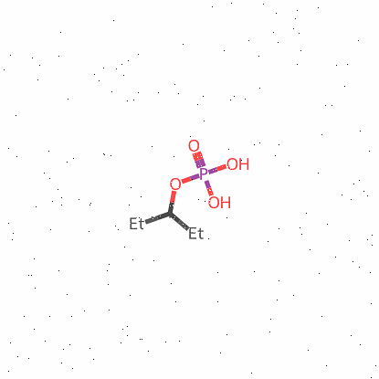 CC[C](CC)OP(=O)(O)O